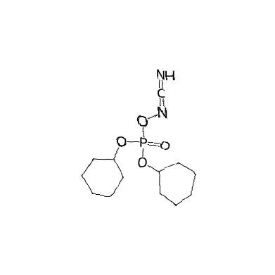 N=C=NOP(=O)(OC1CCCCC1)OC1CCCCC1